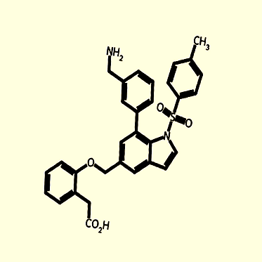 Cc1ccc(S(=O)(=O)n2ccc3cc(COc4ccccc4CC(=O)O)cc(-c4cccc(CN)c4)c32)cc1